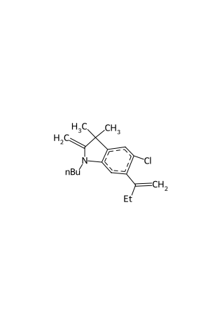 C=C(CC)c1cc2c(cc1Cl)C(C)(C)C(=C)N2CCCC